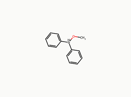 CO[SiH](c1ccccc1)c1ccccc1